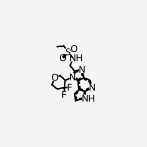 CCS(=O)(=O)NCc1nc2cnc3[nH]ccc3c2n1C1COCCC1(F)F